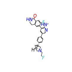 CNc1ncc(-c2ccc([C@@]34C[C@@H]3CN(CCF)C4)cc2)cc1-c1cc2c(cc1F)C(=O)NCC2